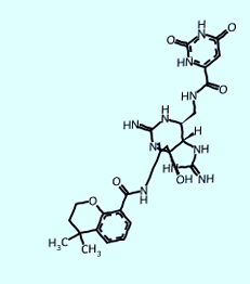 CC1(C)CCOc2c(C(=O)NC3CN4C(=N)N[C@@H](CNC(=O)c5cc(=O)[nH]c(=O)[nH]5)[C@@H]5NC(=N)NC54[C@@H]3O)cccc21